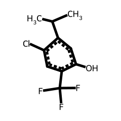 CC(C)c1cc(O)c(C(F)(F)F)cc1Cl